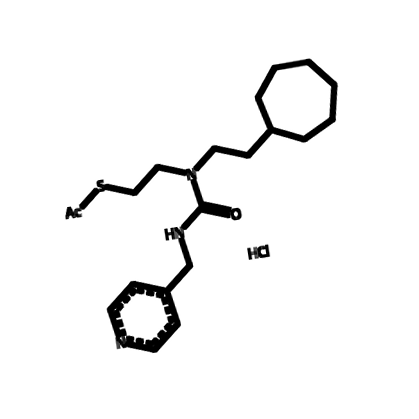 CC(=O)SCCN(CCC1CCCCCC1)C(=O)NCc1ccncc1.Cl